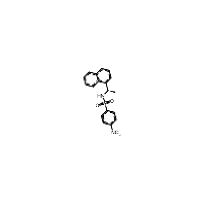 C[C@@H](NS(=O)(=O)c1ccc([N+](=O)[O-])cc1)c1cccc2ccccc12